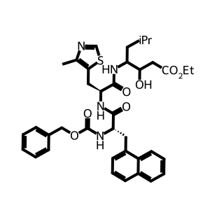 CCOC(=O)CC(O)C(CC(C)C)NC(=O)[C@H](Cc1scnc1C)NC(=O)[C@H](Cc1cccc2ccccc12)NC(=O)OCc1ccccc1